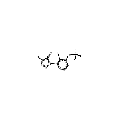 Cn1nnn(-c2cccc(OC(F)(F)F)c2I)c1=O